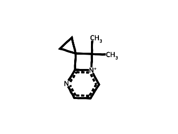 CC1(C)[n+]2cccnc2C12CC2